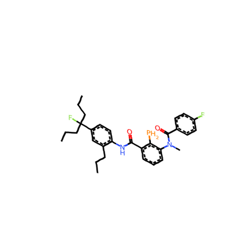 CCCc1cc(C(F)(CCC)CCC)ccc1NC(=O)c1cccc(N(C)C(=O)c2ccc(F)cc2)c1P